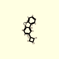 c1ccc2c(c1)oc1ccc(C3CCC3)cc12